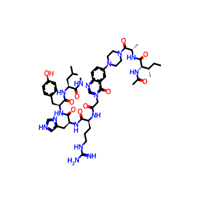 CC[C@H](C)[C@H](NC(C)=O)C(=O)N[C@@H](C)C(=O)N1CCN(c2ccc3ncn(CC(=O)N[C@@H](CCCNC(=N)N)C(=O)N[C@@H](Cc4c[nH]cn4)C(=O)N[C@@H](Cc4ccc(O)cc4)C(=O)N[C@@H](CC(C)C)C(=O)NC)c(=O)c3c2)CC1